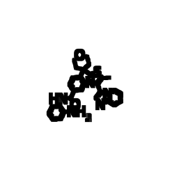 Cc1sc(C2(c3ccc(C(=O)Nc4ccccc4N)cc3)CCOCC2)nc1-c1cnc2ccccn12